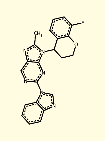 Cc1nc2cnc(-n3cnc4ccccc43)nc2n1C1CCOc2c(F)cccc21